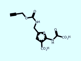 C#CCOC(=O)NCc1cc(C(=O)O)c(NC(=O)C(=O)O)s1